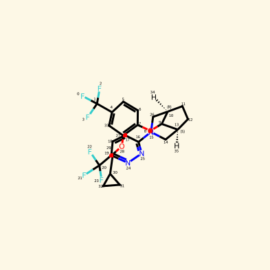 FC(F)(F)c1ccc(OC2[C@@H]3CC[C@H]2CN(c2ccc(C(F)(F)F)nn2)C3)c(OCC2CC2)c1